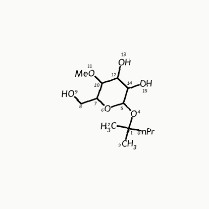 CCCC(C)(C)OC1OC(CO)C(OC)C(O)C1O